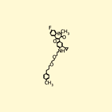 CNC(=O)c1c(-c2ccc(F)cc2)oc2cc(NCCOCCOCCCc3ccc(C)cc3)c(C3CC3)cc12